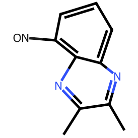 Cc1nc2cccc(N=O)c2nc1C